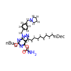 CCCCCCCCCCCCCCCCCCc1nn(Cc2ccc(CN3CCCC3)cc2)c2nc(OCCCC)nc(OC(N)=O)c12